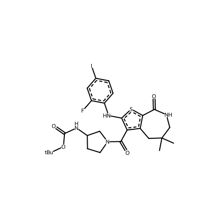 CC1(C)CNC(=O)c2sc(Nc3ccc(I)cc3F)c(C(=O)N3CCC(NC(=O)OC(C)(C)C)C3)c2C1